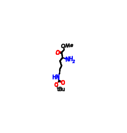 COCC(=O)[C@@H](N)CCCCNC(=O)OC(C)(C)C